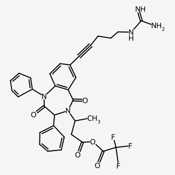 CC(CC(=O)OC(=O)C(F)(F)F)N1C(=O)c2cc(C#CCCCNC(=N)N)ccc2N(c2ccccc2)C(=O)C1c1ccccc1